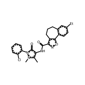 CCc1ccc2c(c1)CCCc1c(C(=O)Nc3c(C)n(C)n(-c4ccccc4Cl)c3=O)noc1-2